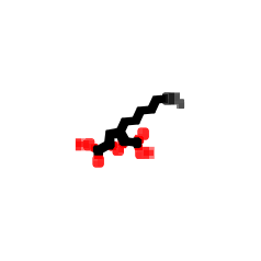 CCCCCCc1cc(C(=O)O)oc1C(=O)O